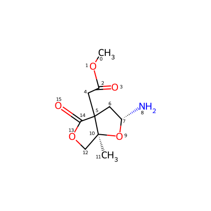 COC(=O)CC12C[C@H](N)O[C@@]1(C)COC2=O